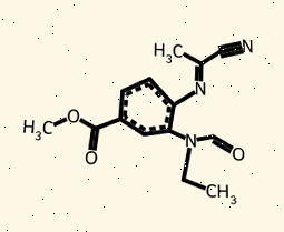 CCN(C=O)c1cc(C(=O)OC)ccc1/N=C(\C)C#N